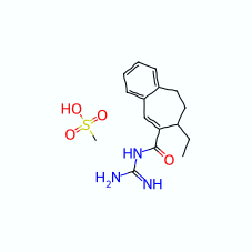 CCC1CCc2ccccc2C=C1C(=O)NC(=N)N.CS(=O)(=O)O